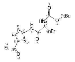 CCCC(NC(=O)OC(C)(C)C)C(=O)Nc1ncc(C(=O)CC)s1